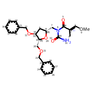 CO/C=C(\C)C(=O)N(C[C@H]1C[C@H](OCc2ccccc2)[C@@H](COCc2ccccc2)O1)C(N)=O